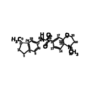 CC1CCc2ccc(NS(=O)(=O)c3ccc4c(c3)OCCN4C)cc21